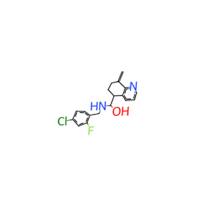 C=C1CCC(C(O)NCc2ccc(Cl)cc2F)c2cccnc21